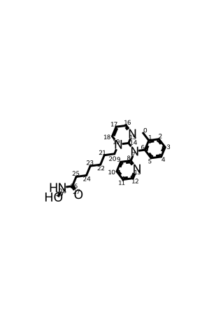 Cc1ccccc1N(c1ccccn1)C1N=CC=CN1CCCCCCC(=O)NO